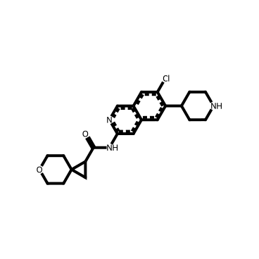 O=C(Nc1cc2cc(C3CCNCC3)c(Cl)cc2cn1)C1CC12CCOCC2